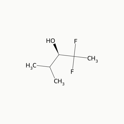 CC(C)[C@@H](O)C(C)(F)F